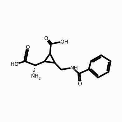 N[C@H](C(=O)O)C1C(CNC(=O)c2ccccc2)C1C(=O)O